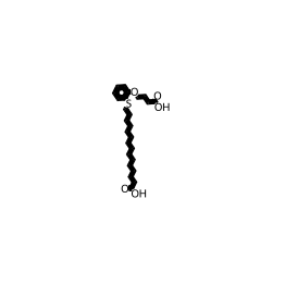 O=C(O)CCCCCCCCCCCCCCSc1ccccc1OCCCC(=O)O